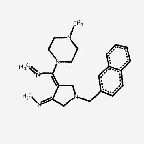 C=N/C(=C1/CN(Cc2ccc3ccccc3c2)C/C1=N/C)N1CCN(C)CC1